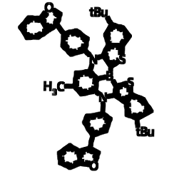 Cc1cc2c3c(c1)N(c1ccc(-c4coc5ccccc45)cc1)c1c(sc4ccc(C(C)(C)C)cc14)B3c1sc3ccc(C(C)(C)C)cc3c1N2c1ccc(-c2coc3ccccc23)cc1